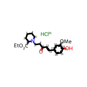 CCOC(=O)C1CCCCN1CCC(=O)C=Cc1ccc(O)c(OC)c1.Cl